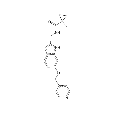 CC1(C(=O)NCc2cc3ccc(OCc4ccncc4)cc3[nH]2)CC1